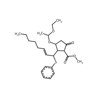 CCCCCC=CC(Sc1ccccc1)C1C(OC(C)OCC)CC(=O)C1C(=O)OC